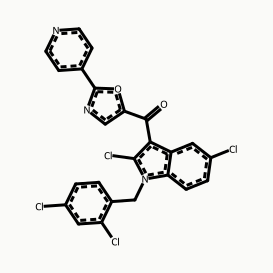 O=C(c1cnc(-c2ccncc2)o1)c1c(Cl)n(Cc2ccc(Cl)cc2Cl)c2ccc(Cl)cc12